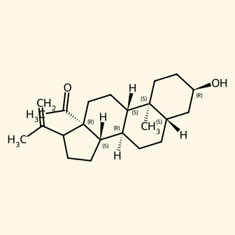 C=C(C)C1CC[C@H]2[C@@H]3CC[C@H]4C[C@H](O)CC[C@]4(C)[C@H]3CC[C@]12C(C)=O